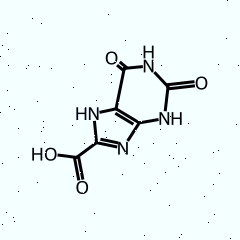 O=C(O)c1nc2[nH]c(=O)[nH]c(=O)c2[nH]1